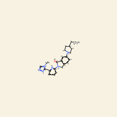 CC(C)n1cnnc1-c1cccc(N2Cc3ccc(N4CCC(CC(=O)O)CC4)cc3C2=O)n1